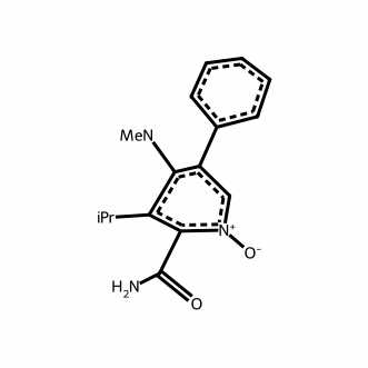 CNc1c(-c2ccccc2)c[n+]([O-])c(C(N)=O)c1C(C)C